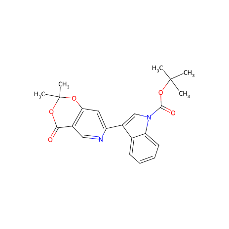 CC(C)(C)OC(=O)n1cc(-c2cc3c(cn2)C(=O)OC(C)(C)O3)c2ccccc21